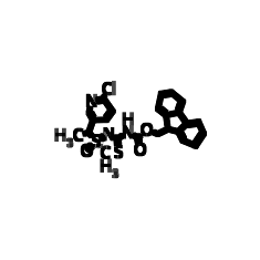 CC(c1ccc(Cl)nc1)S(C)(=O)=NC(=S)NC(=O)OCC1c2ccccc2-c2ccccc21